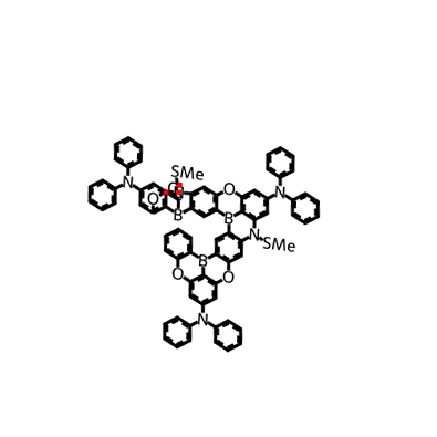 CSN1c2cc3c(cc2B2c4cc5c(cc4Oc4cc(N(c6ccccc6)c6ccccc6)cc1c42)N(SC)c1cc(N(c2ccccc2)c2ccccc2)cc2c1B5c1ccccc1O2)B1c2ccccc2Oc2cc(N(c4ccccc4)c4ccccc4)cc(c21)O3